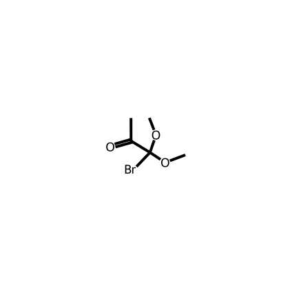 COC(Br)(OC)C(C)=O